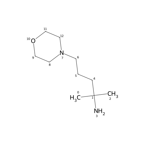 CC(C)(N)CCCN1CCOCC1